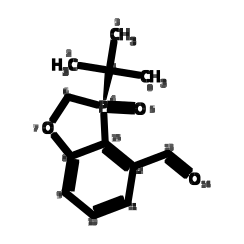 CC(C)(C)[P@]1(=O)COc2cccc(C=O)c21